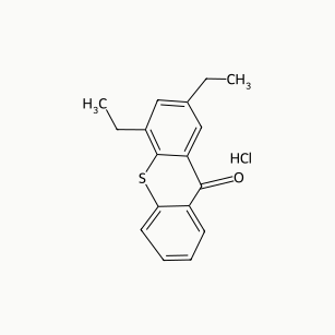 CCc1cc(CC)c2sc3ccccc3c(=O)c2c1.Cl